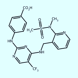 CN(c1ncccc1CNc1nc(Nc2ccc(C(=O)O)cc2)ncc1C(F)(F)F)S(C)(=O)=O